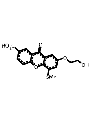 CSc1cc(OCCO)cc2c(=O)c3cc(C(=O)O)ccc3oc12